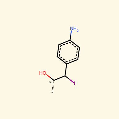 C[C@H](O)C(I)c1ccc(N)cc1